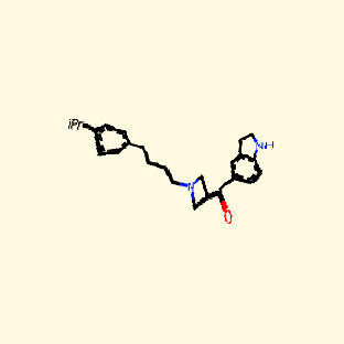 CC(C)c1ccc(CCCCN2CC(C(=O)c3ccc4c(c3)CCN4)C2)cc1